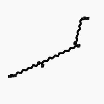 CCCCCCCCCCCCCCCCCCOC(=O)CCCCCCCCCCCCC(=O)OCCCCCCCCCCCCCCCCCC